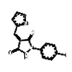 O=C1NN(c2ccc(I)cc2)C(=O)C1=Cc1ccc[nH]1